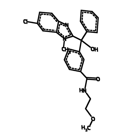 COCCNC(=O)c1cccc(C(O)(c2ccccc2)c2nc3ccc(Cl)cc3n2C)c1